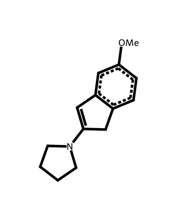 COc1ccc2c(c1)C=C(N1CCCC1)C2